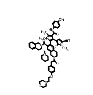 Cc1c(-c2c(C(=O)Nc3ccc(O)cc3)c(C)n(C)c2-c2cc3c(cc2C(=O)N2Cc4ccccc4C[C@H]2CN2CCCCC2)CN(C(=O)Cc2ccc(OCCN4CCOCC4)cc2)CC3)cc(C#N)n1C